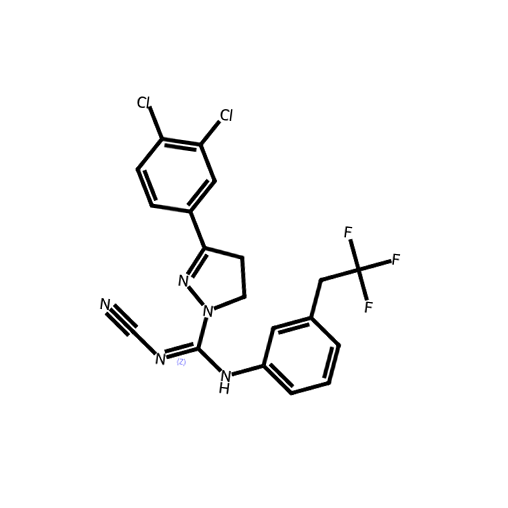 N#C/N=C(/Nc1cccc(CC(F)(F)F)c1)N1CCC(c2ccc(Cl)c(Cl)c2)=N1